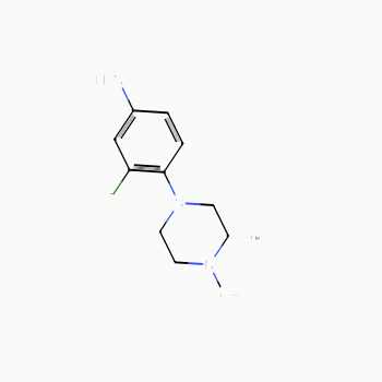 C[C@@H]1CN(c2ccc(N)cc2Cl)C[C@H](C)N1C